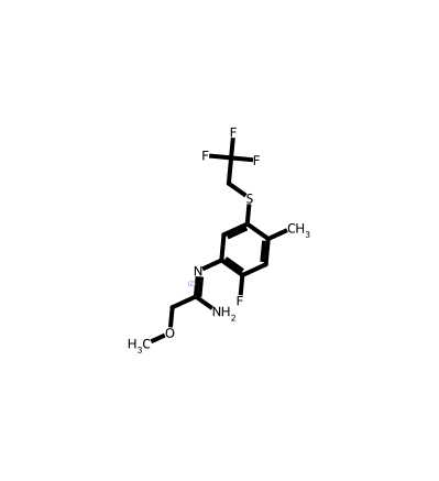 COC/C(N)=N/c1cc(SCC(F)(F)F)c(C)cc1F